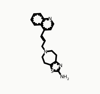 Nc1nc2c(s1)CCN(CC=Cc1ccnc3ccccc13)CC2